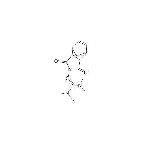 CN(C)C(=[O+]N1C(=O)C2C3C=CC(C3)C2C1=O)N(C)C